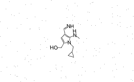 CNc1c(C=N)cc(CO)n1CC1CC1